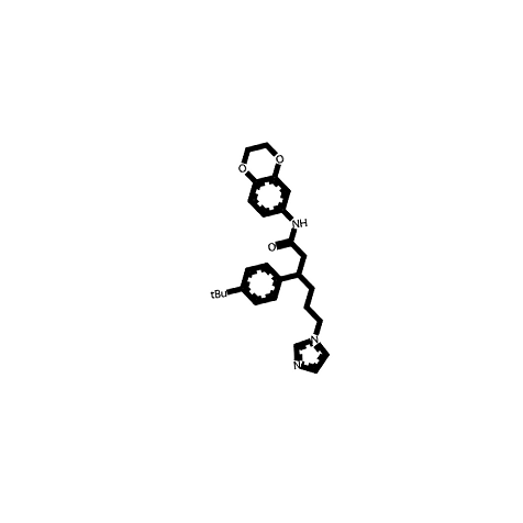 CC(C)(C)c1ccc(C(CCCn2ccnc2)CC(=O)Nc2ccc3c(c2)OCCO3)cc1